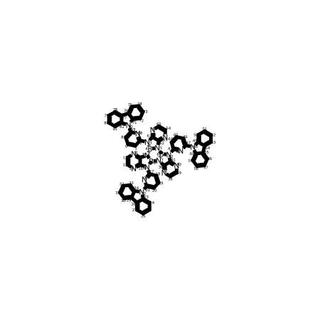 c1cc(N2B3N(B4N(B5N3c3nccnc3N5c3cccc(-n5c6ccccc6c6ccccc65)n3)c3nccnc3N4c3cccc(-n4c5ccccc5c5ccccc54)n3)c3nccnc32)nc(-n2c3ccccc3c3ccccc32)c1